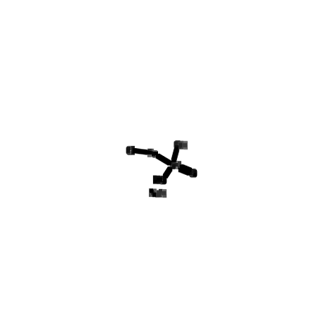 O=[SH](O)(O)[Fe][Cl].[NaH]